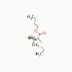 CCCCOC(=O)C(CCCC)C(C)=O.[SnH2]